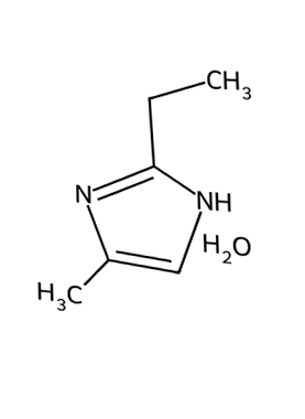 CCc1nc(C)c[nH]1.O